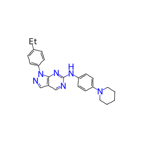 CCc1ccc(-n2ncc3cnc(Nc4ccc(N5CCCCC5)cc4)nc32)cc1